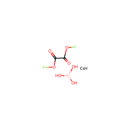 O=C(OF)C(=O)OF.OB(O)O.[CsH]